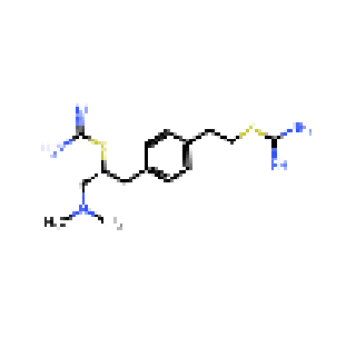 CN(C)C[C@H](Cc1ccc(CCSC(=N)N)cc1)SC(=N)N